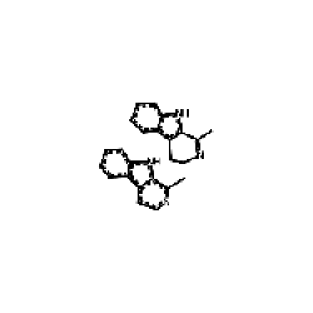 CC1=NCCc2c1[nH]c1ccccc21.Cc1nccc2c1[nH]c1ccccc12